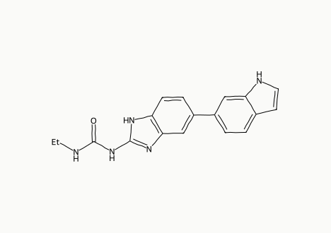 CCNC(=O)Nc1nc2cc(-c3ccc4cc[nH]c4c3)ccc2[nH]1